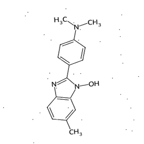 Cc1ccc2nc(-c3ccc(N(C)C)cc3)n(O)c2c1